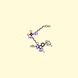 CCCCCCCCCCCCCCCCCNc1c(NCCCCOn2c(CCCC)nc3c(N)nc4cc(P(C)C)ccc4c32)c(=O)c1=O